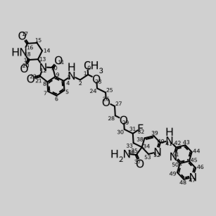 CC(CNc1cccc2c1C(=O)N(C1CCC(=O)NC1=O)C2=O)OCCOCCOCC(F)CC1(C(N)=O)C=CC(Nc2ccc3cnccc3n2)=NC1